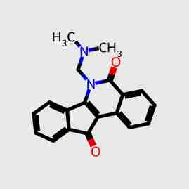 CN(C)Cn1c2c(c3ccccc3c1=O)C(=O)c1ccccc1-2